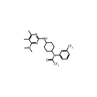 Cc1nc(NC2CCC(N(C(=O)C(F)(F)F)c3cccc(C(F)(F)F)c3)CC2)nc(N(C)C)c1C